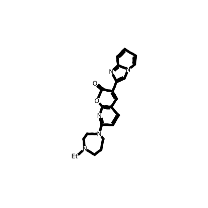 CCN1CCCN(c2ccc3cc(-c4cn5ccccc5n4)c(=O)oc3n2)CC1